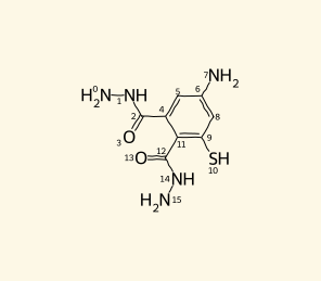 NNC(=O)c1cc(N)cc(S)c1C(=O)NN